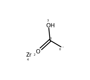 [CH2]C(=O)O.[Zr]